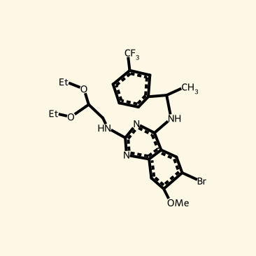 CCOC(CNc1nc(NC(C)c2cccc(C(F)(F)F)c2)c2cc(Br)c(OC)cc2n1)OCC